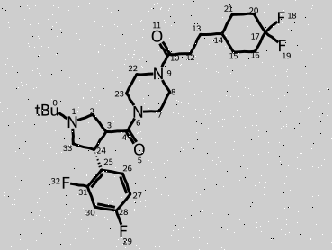 CC(C)(C)N1CC(C(=O)N2CCN(C(=O)CCC3CCC(F)(F)CC3)CC2)[C@H](c2ccc(F)cc2F)C1